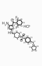 Cl.Nc1nc(NC2CCN(S(=O)(=O)c3ccc(CN4CCCC4)cc3)CC2)sc1C(=O)c1c(F)cccc1F